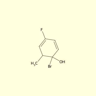 CC1C=C(F)C=CC1(O)Br